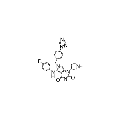 CN1CCC(n2c(=O)n(C)c(=O)c3c(Nc4ccc(F)cc4)n(Cc4ccc(-n5cncn5)cc4)cc32)C1